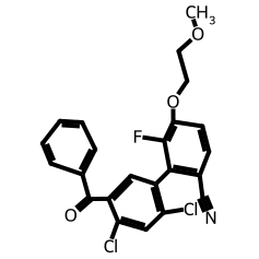 COCCOc1ccc(C#N)c(-c2cc(C(=O)c3ccccc3)c(Cl)cc2Cl)c1F